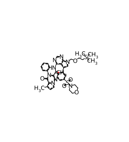 Cc1ccn2nc([C@H](C)Nc3ncnc4c3c(-c3cccc(S(=O)(=O)N5CCOCC5)c3)cn4COCC[Si](C)(C)C)n(-c3ccccc3)c(=O)c12